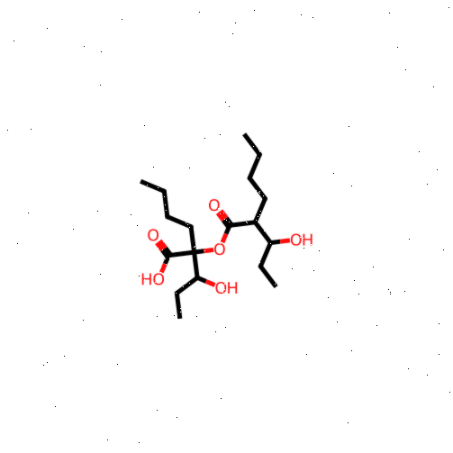 CCCCC(C(=O)OC(CCCC)(C(=O)O)C(O)CC)C(O)CC